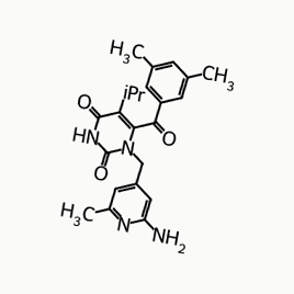 Cc1cc(C)cc(C(=O)c2c(C(C)C)c(=O)[nH]c(=O)n2Cc2cc(C)nc(N)c2)c1